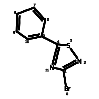 Brc1nsc(-c2[c]cccc2)n1